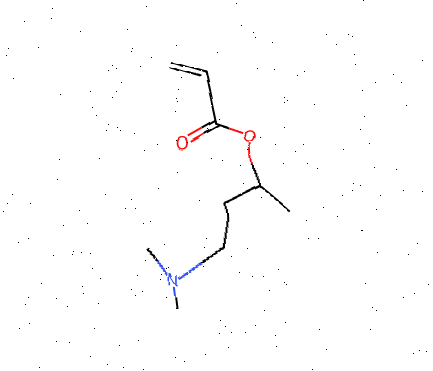 C=CC(=O)OC(C)CCN(C)C